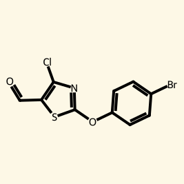 O=Cc1sc(Oc2ccc(Br)cc2)nc1Cl